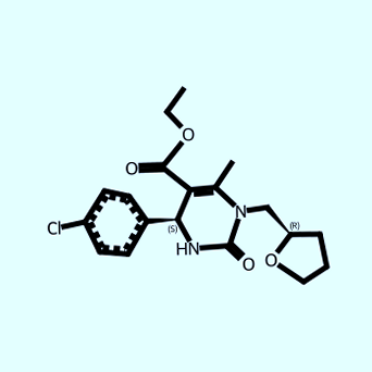 CCOC(=O)C1=C(C)N(C[C@H]2CCCO2)C(=O)N[C@H]1c1ccc(Cl)cc1